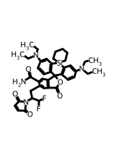 CCN(CC)c1ccc2c(c1)[Si]1(CCCCC1)c1cc(N(CC)CC)ccc1C21OC(=O)c2cc(CC(C(F)F)N3C(=O)C=CC3=O)c(C(N)=O)cc21